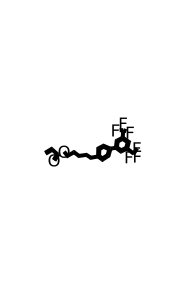 C=CC(=O)OCCCCCc1ccc(-c2cc(C(F)(F)F)cc(C(F)(F)F)c2)cc1